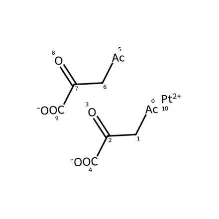 CC(=O)CC(=O)C(=O)[O-].CC(=O)CC(=O)C(=O)[O-].[Pt+2]